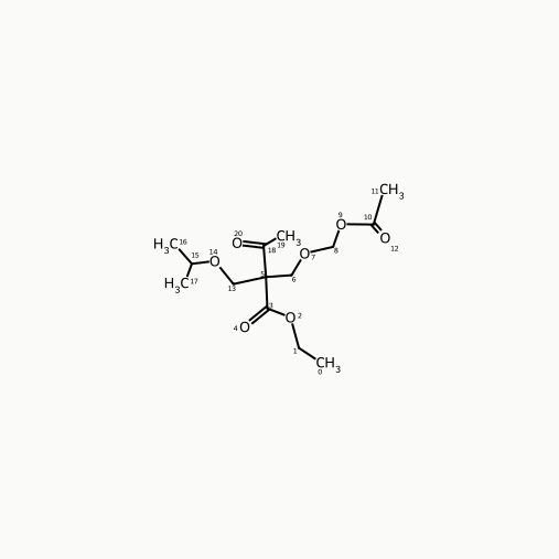 CCOC(=O)C(COCOC(C)=O)(COC(C)C)C(C)=O